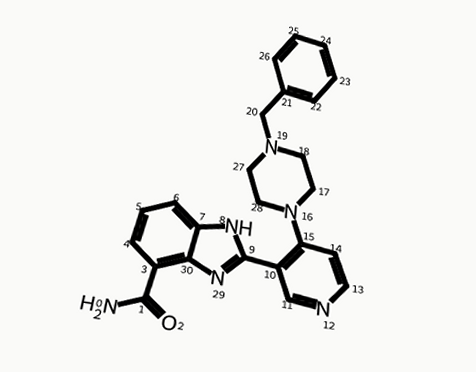 NC(=O)c1cccc2[nH]c(-c3cnccc3N3CCN(Cc4ccccc4)CC3)nc12